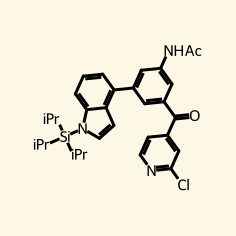 CC(=O)Nc1cc(C(=O)c2ccnc(Cl)c2)cc(-c2cccc3c2ccn3[Si](C(C)C)(C(C)C)C(C)C)c1